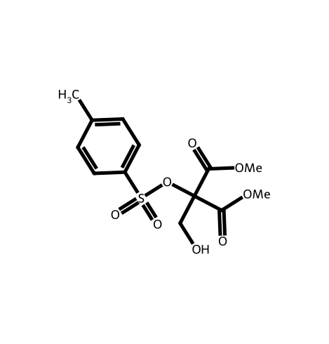 COC(=O)C(CO)(OS(=O)(=O)c1ccc(C)cc1)C(=O)OC